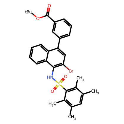 Cc1cc(C)c(C)c(S(=O)(=O)Nc2c(Br)cc(-c3cccc(C(=O)OC(C)(C)C)c3)c3ccccc23)c1C